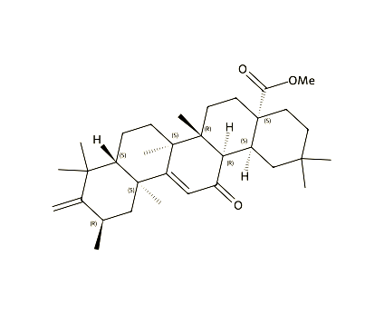 C=C1[C@H](C)C[C@]2(C)C3=CC(=O)[C@@H]4[C@@H]5CC(C)(C)CC[C@]5(C(=O)OC)CC[C@@]4(C)[C@]3(C)CC[C@H]2C1(C)C